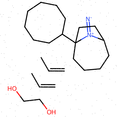 C=CC.C=CC.OCCO.[N-]=[N+]1C2CCCCC1(C1CCCCCCC1)CC2